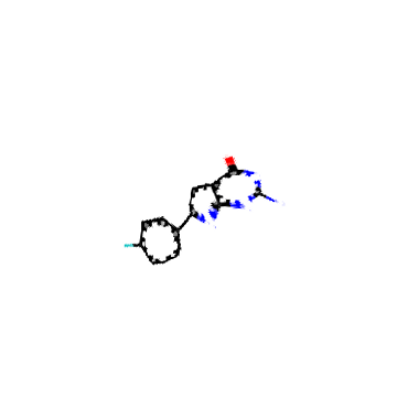 Nc1nc2[nH]c(-c3ccc(F)cc3)cc2c(=O)[nH]1